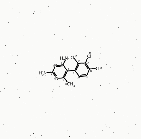 Cc1nc(N)nc(N)c1-c1ccc(Cl)c(Cl)c1Cl